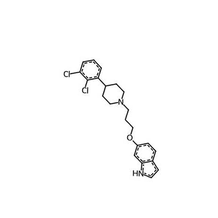 Clc1cccc(C2CCN(CCCOc3ccc4cc[nH]c4c3)CC2)c1Cl